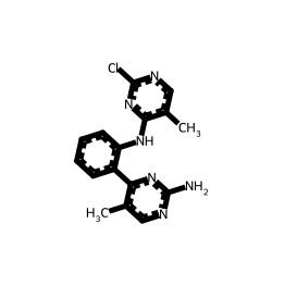 Cc1cnc(Cl)nc1Nc1ccccc1-c1nc(N)ncc1C